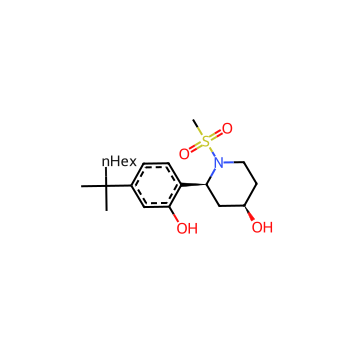 CCCCCCC(C)(C)c1ccc([C@@H]2C[C@H](O)CCN2S(C)(=O)=O)c(O)c1